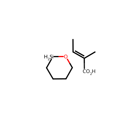 C1CC[SiH2]OC1.CC=C(C)C(=O)O